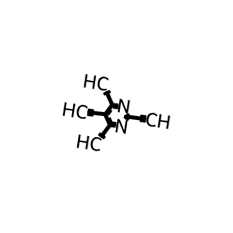 C#Cc1nc(C#C)c(C#C)c(C#C)n1